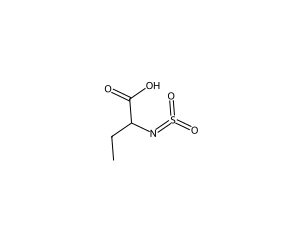 CCC(N=S(=O)=O)C(=O)O